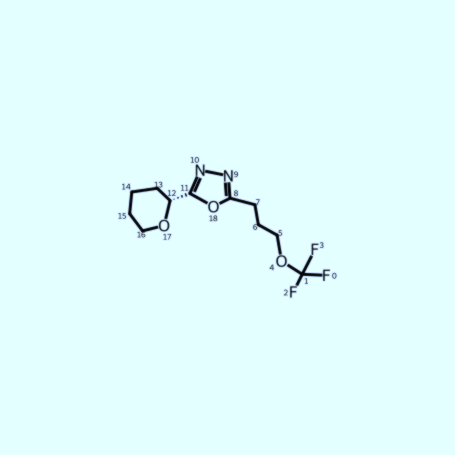 FC(F)(F)OCCCc1nnc([C@H]2CCCCO2)o1